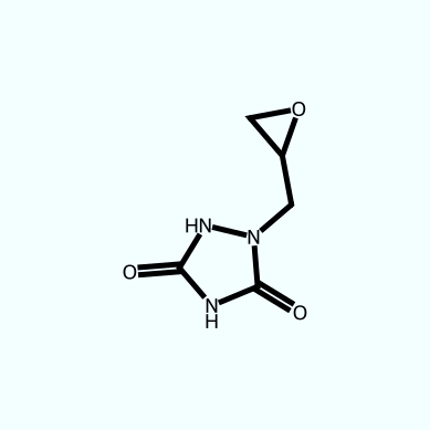 O=c1[nH]c(=O)n(CC2CO2)[nH]1